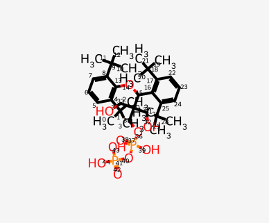 CC(C)(C)c1cccc(C(C)(C)C)c1OC(c1c(C(C)(C)C)cccc1C(C)(C)C)C(CO)(CO)COP(=O)(O)OP(=O)(O)O